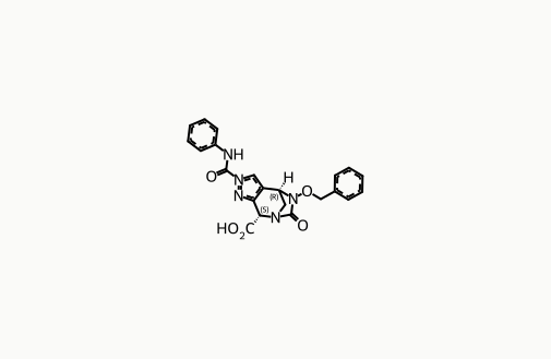 O=C(O)[C@@H]1c2nn(C(=O)Nc3ccccc3)cc2[C@@H]2CN1C(=O)N2OCc1ccccc1